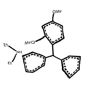 CCNCC.COc1ccc(C(c2ccccc2)c2ccccc2)c(OC)c1